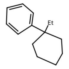 CCC1(c2ccccc2)CCCCC1